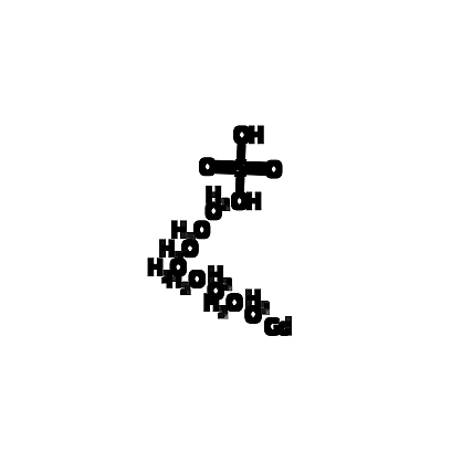 O.O.O.O.O.O.O.O.O=S(=O)(O)O.[Gd]